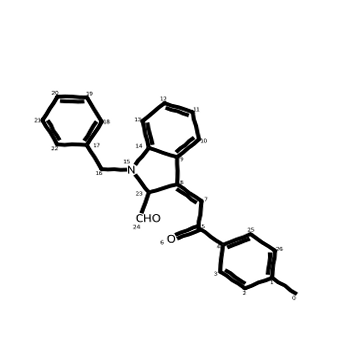 Cc1ccc(C(=O)C=C2c3ccccc3N(Cc3ccccc3)C2C=O)cc1